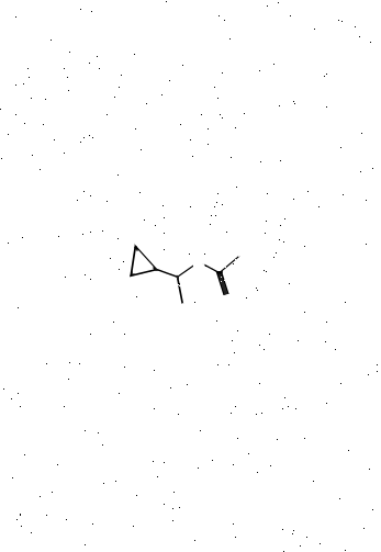 [CH2]C(OC(=O)CC)C1CC1